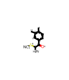 Cc1ccc(C(=O)C(SC#N)C(C)C)cc1C